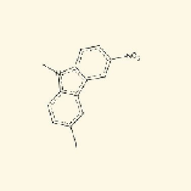 Cn1c2ccc(I)cc2c2cc([N+](=O)[O-])ccc21